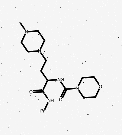 CC(C)NC(=O)C(CCN1CCN(C)CC1)NC(=O)N1CCOCC1